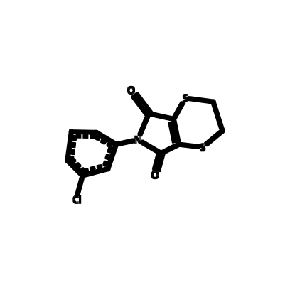 O=C1C2=C(SCCS2)C(=O)N1c1cccc(Cl)c1